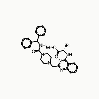 COC(=O)[C@@H](Nc1nc(CN2CCN(C(=O)NC(c3ccccc3)c3ccccc3)CC2)nc2ccccc12)C(C)C